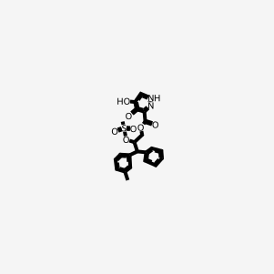 Cc1cccc(C(c2ccccc2)C(COC(=O)c2n[nH]cc(O)c2=O)OS(C)(=O)=O)c1